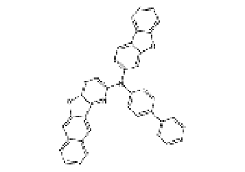 c1ccc(-c2ccc(N(c3ccc4c(c3)oc3ccccc34)c3ccc4oc5cc6ccccc6cc5c4n3)cc2)cc1